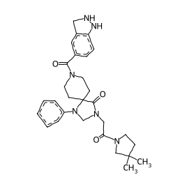 CC1(C)CCN(C(=O)CN2CN(c3ccccc3)C3(CCN(C(=O)c4ccc5c(c4)CNN5)CC3)C2=O)C1